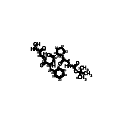 CC(C)(C)OC(=O)NCC(=O)N1CCC[C@H]1C(=O)N[C@@H](Cc1ccccc1)C(=O)NCC(=O)NO